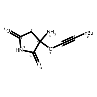 CCCCC#COC1(N)CC(=O)NC1=O